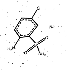 Nc1ccc(Cl)cc1S(N)(=O)=O.[Na]